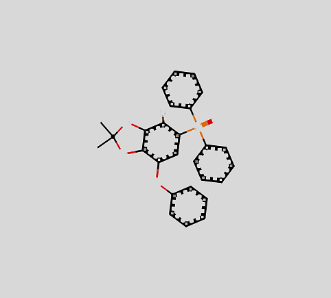 CC1(C)Oc2c(Oc3ccccc3)cc(P(=O)(c3ccccc3)c3ccccc3)c(Br)c2O1